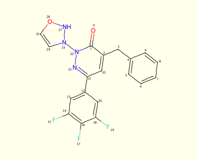 O=c1c(Cc2ccccc2)cc(-c2cc(F)c(F)c(F)c2)nn1N1C=CON1